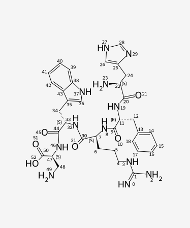 N=C(N)NCCC[C@H](NC(=O)[C@@H](Cc1ccccc1)NC(=O)[C@@H](N)Cc1c[nH]cn1)C(=O)N[C@@H](Cc1c[nH]c2ccccc12)C(=O)N[C@@H](CN)C(=O)O